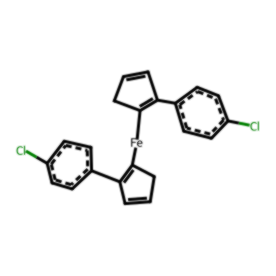 Clc1ccc(C2=[C]([Fe][C]3=C(c4ccc(Cl)cc4)C=CC3)CC=C2)cc1